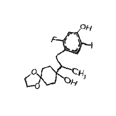 CC(Cc1cc(I)c(O)cc1F)C1(O)CCC2(CC1)OCCO2